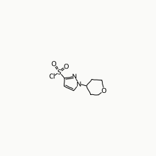 O=S(=O)(Cl)c1ccn(C2CCOCC2)n1